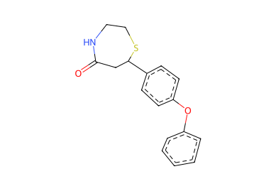 O=C1CC(c2ccc(Oc3ccccc3)cc2)SCCN1